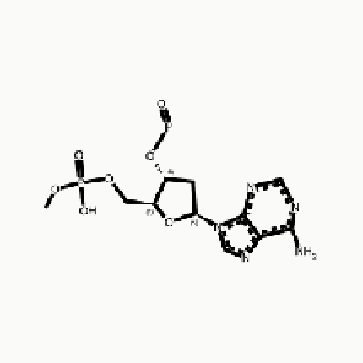 COP(=O)(O)OC[C@@H]1O[C@H](n2cnc3c(N)ncnc32)C[C@H]1OP=O